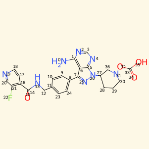 Nc1ncnc2c1c(-c1ccc(CNC(=O)c3ccncc3F)cc1)nn2[C@@H]1CCCN(OC(=O)O)C1